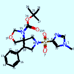 Cn1cnc(S(=O)(=O)N2CC(c3ccccc3)C3(COCN3C(=O)OC(C)(C)C)C2)c1